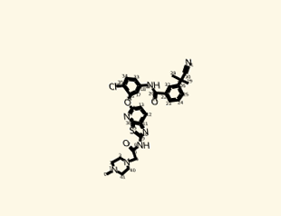 CN1CCN(CC(=O)Nc2nc3ccc(Oc4cc(NC(=O)c5cccc(C(C)(C)C#N)c5)ccc4Cl)nc3s2)CC1